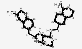 Nc1nccc2cc(CNc3ncnc4nc(Cc5ccc6ncc(C(F)(F)F)cc6c5)[nH]c34)ccc12